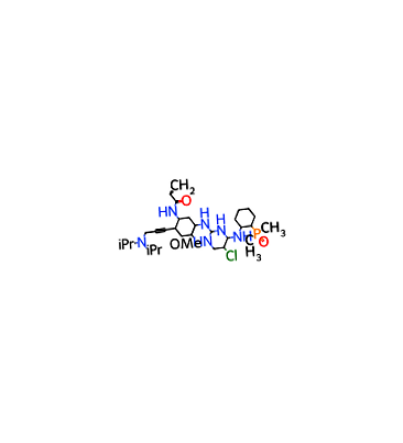 C=CC(=O)NC1CC(NC2NCC(Cl)C(NC3CCCCC3P(C)(C)=O)N2)C(OC)CC1C#CCN(C(C)C)C(C)C